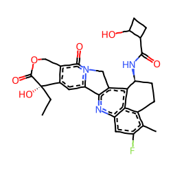 CC[C@@]1(O)C(=O)OCc2c1cc1n(c2=O)Cc2c-1nc1cc(F)c(C)c3c1c2[C@@H](NC(=O)C1CCC1O)CC3